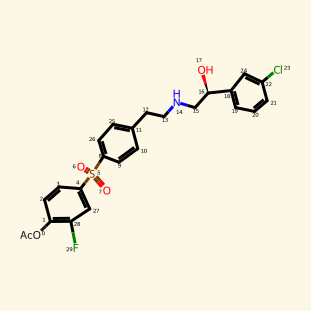 CC(=O)Oc1ccc(S(=O)(=O)c2ccc(CCNC[C@@H](O)c3cccc(Cl)c3)cc2)cc1F